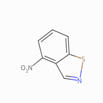 O=[N+]([O-])c1cccc2sncc12